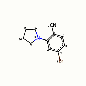 N#Cc1ccc(Br)cc1N1CCCC1